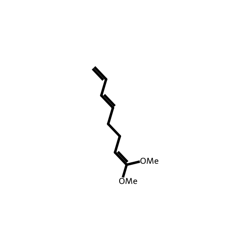 C=CC=CCCC=C(OC)OC